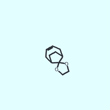 C1=CCC2CCC(C1)C21OCCO1